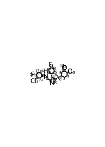 COc1ccc(C(C)(C)c2cnc(CNc3ccc(F)c(Cl)c3)n2-c2ccc(F)cc2)cc1OC